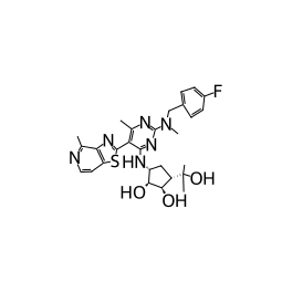 Cc1nc(N(C)Cc2ccc(F)cc2)nc(N[C@@H]2C[C@H](C(C)(C)O)[C@@H](O)[C@H]2O)c1-c1nc2c(C)nccc2s1